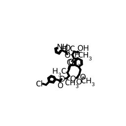 CO[C@H]1CC2C=C[C@@H]3C[C@]2(O[C@H]3[C@H](OC(=O)c2ccc[nH]2)[C@H](C)[C@H](C)O)/C(C)=C/[C@@H](C)[C@@H]([C@@H](C)OC(=O)c2cccc(CCl)c2)OC1=O